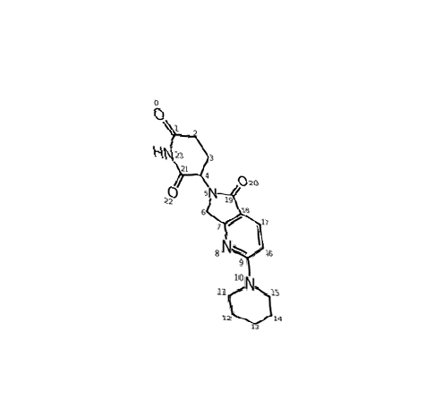 O=C1CCC(N2Cc3nc(N4CCCCC4)ccc3C2=O)C(=O)N1